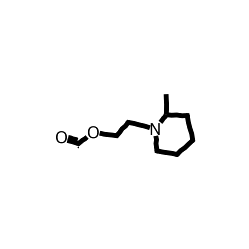 CC1CCCCN1CCO[C]=O